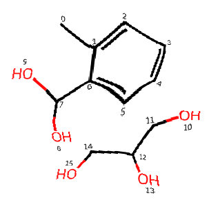 Cc1ccccc1C(O)O.OCC(O)CO